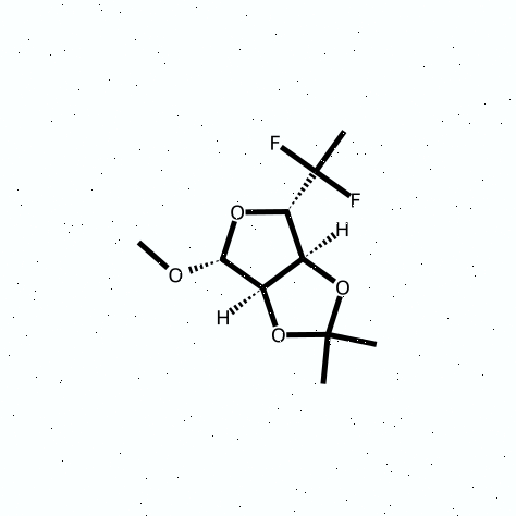 CO[C@@H]1O[C@H](C(C)(F)F)[C@H]2OC(C)(C)O[C@@H]12